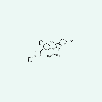 CCc1ccc(N(c2[nH]c3cc(C#N)ccc3c2C)C(C)C)cc1C1CCN(C2COC2)CC1